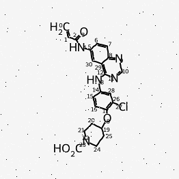 C=CC(=O)Nc1ccc2ncnc(Nc3ccc(OC4CCN(C(=O)O)CC4)c(Cl)c3)c2c1